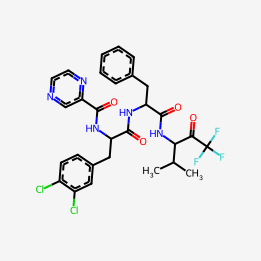 CC(C)C(NC(=O)C(Cc1ccccc1)NC(=O)C(Cc1ccc(Cl)c(Cl)c1)NC(=O)c1cnccn1)C(=O)C(F)(F)F